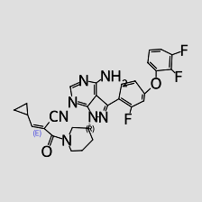 N#C/C(=C\C1CC1)C(=O)N1CCC[C@@H](n2nc(-c3ccc(Oc4cccc(F)c4F)cc3F)c3c(N)ncnc32)C1